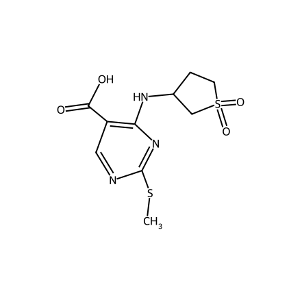 CSc1ncc(C(=O)O)c(NC2CCS(=O)(=O)C2)n1